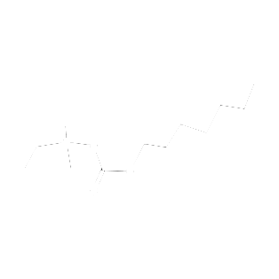 CCCCCCCOC(=O)O[Si](C)(C)CC